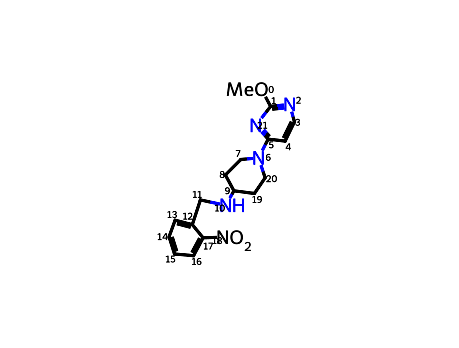 COc1nccc(N2CCC(NCc3ccccc3[N+](=O)[O-])CC2)n1